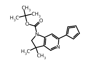 CC(C)(C)OC(=O)N1CC(C)(C)c2cnc(C3=C=CC=C3)cc21